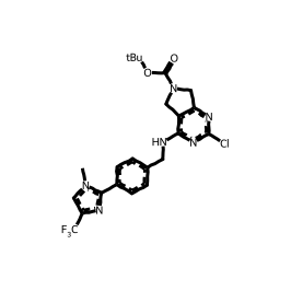 Cn1cc(C(F)(F)F)nc1-c1ccc(CNc2nc(Cl)nc3c2CN(C(=O)OC(C)(C)C)C3)cc1